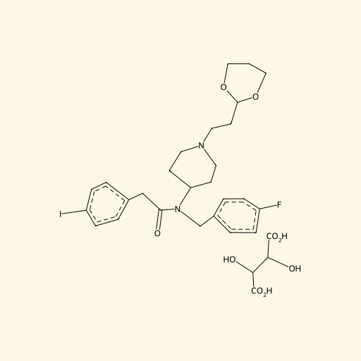 O=C(Cc1ccc(I)cc1)N(Cc1ccc(F)cc1)C1CCN(CCC2OCCCO2)CC1.O=C(O)C(O)C(O)C(=O)O